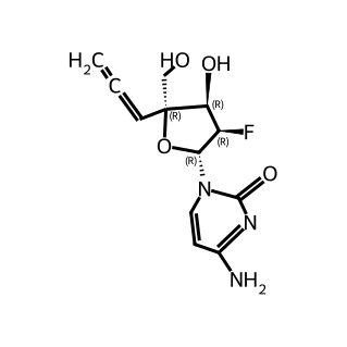 C=C=C[C@]1(CO)O[C@@H](n2ccc(N)nc2=O)[C@H](F)[C@@H]1O